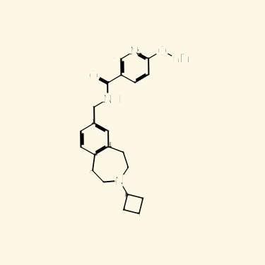 CCCOc1ccc(C(=O)NCc2ccc3c(c2)CCN(C2CCC2)CC3)cn1